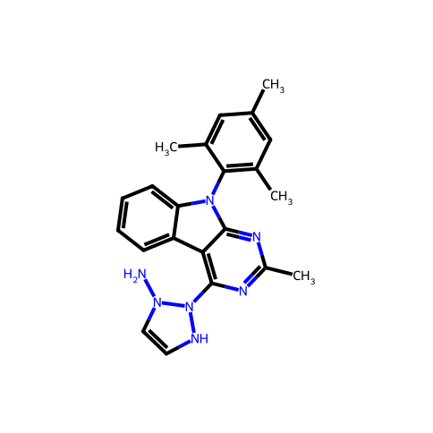 Cc1cc(C)c(-n2c3ccccc3c3c(N4NC=CN4N)nc(C)nc32)c(C)c1